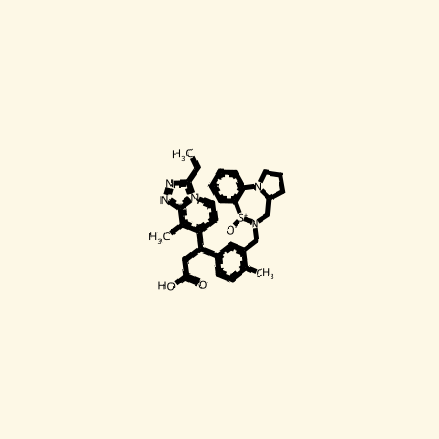 CCc1nnc2c(C)c(C(CC(=O)O)c3ccc(C)c(CN4CC5CCCN5c5ccccc5[S+]4[O-])c3)ccn12